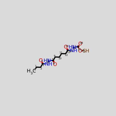 CCCC(=O)NNC(=O)CCCCC(=O)NNC(=O)OS